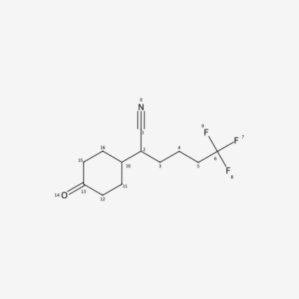 N#CC(CCCC(F)(F)F)C1CCC(=O)CC1